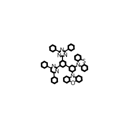 c1ccc(-c2cc(-c3ccccc3)nc(-c3cc(-c4cc(N5c6ccccc6Oc6ccccc65)cc(N5c6ccccc6Sc6ccccc65)c4)cc(-c4nc(-c5ccccc5)nc(-c5ccccc5)n4)c3)n2)cc1